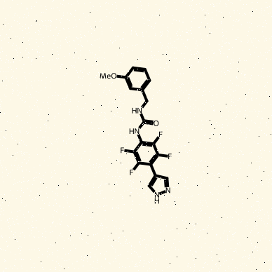 COc1cccc(CNC(=O)Nc2c(F)c(F)c(-c3cn[nH]c3)c(F)c2F)c1